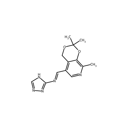 Cc1ncc(/C=N/c2nnc[nH]2)c2c1OC(C)(C)OC2